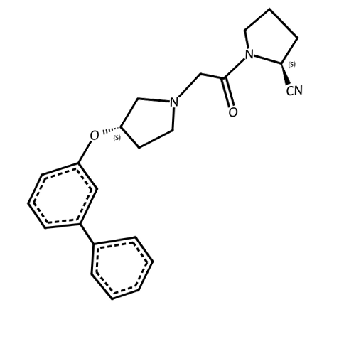 N#C[C@@H]1CCCN1C(=O)CN1CC[C@H](Oc2cccc(-c3ccccc3)c2)C1